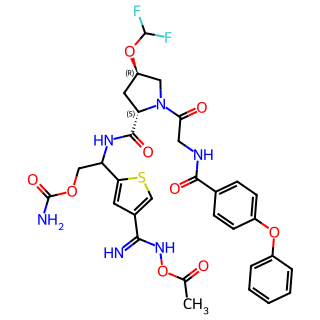 CC(=O)ONC(=N)c1csc(C(COC(N)=O)NC(=O)[C@@H]2C[C@@H](OC(F)F)CN2C(=O)CNC(=O)c2ccc(Oc3ccccc3)cc2)c1